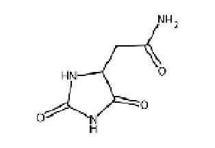 NC(=O)CC1NC(=O)NC1=O